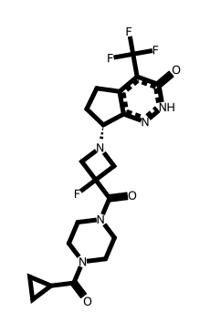 O=C(C1CC1)N1CCN(C(=O)C2(F)CN([C@@H]3CCc4c3n[nH]c(=O)c4C(F)(F)F)C2)CC1